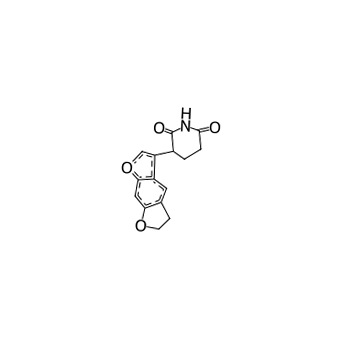 O=C1CCC(c2coc3cc4c(cc23)CCO4)C(=O)N1